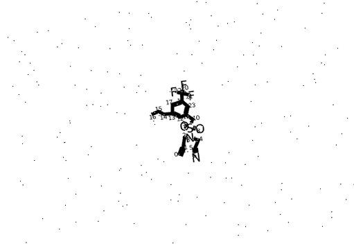 C#CCN(CC#N)S(=O)(=O)Cc1cc(CCC)cc(C(F)(F)F)c1